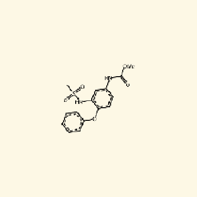 COC(=O)Nc1ccc(Oc2ccccc2)c(NS(C)(=O)=O)c1